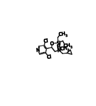 CC[Si](CC)(CC)OC(CNCC1CC1)c1c(Cl)cncc1Cl